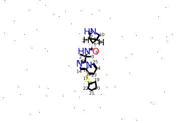 CC(C)(NC(=O)[C@@H]1[C@@H]2CNC[C@@H]21)c1ncc2c(SC3CCCC3)cccn12